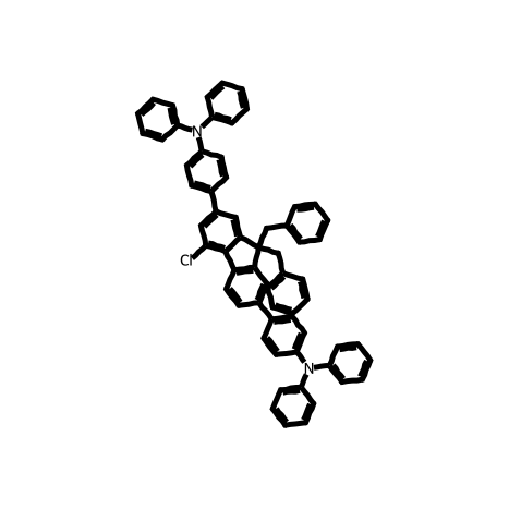 Clc1cc(-c2ccc(N(c3ccccc3)c3ccccc3)cc2)cc2c1-c1ccc(-c3ccc(N(c4ccccc4)c4ccccc4)cc3)cc1C2(Cc1ccccc1)Cc1ccccc1